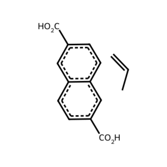 C=CC.O=C(O)c1ccc2cc(C(=O)O)ccc2c1